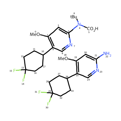 COc1cc(N(C(=O)O)C(C)(C)C)ncc1C1CCC(F)(F)CC1.COc1cc(N)ncc1C1CCC(F)(F)CC1